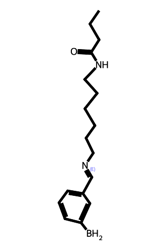 Bc1cccc(/C=N/CCCCCCNC(=O)CCC)c1